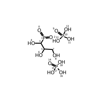 O=P(=O)C(O)C(O)CO.O=P(O)(O)O.O=P(O)(O)O